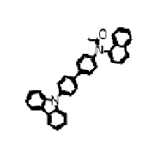 CC(=O)N(c1ccc(-c2ccc(-n3c4ccccc4c4ccccc43)cc2)cc1)c1cccc2ccccc12